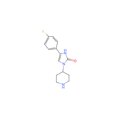 O=c1[nH]c(-c2ccc(F)cc2)cn1C1CCNCC1